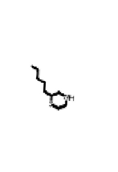 CCCCCC1CNCCS1